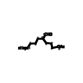 CCCCCCCCCCC(C=O)CCCOC(C)=O